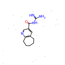 N=C(N)NC(=O)c1cnc2c(c1)CCCCC2